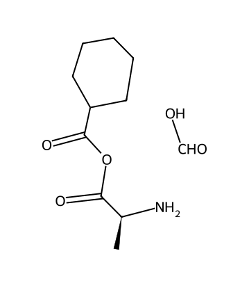 C[C@H](N)C(=O)OC(=O)C1CCCCC1.O=CO